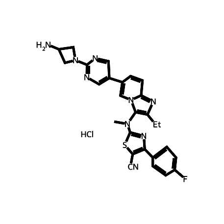 CCc1nc2ccc(-c3cnc(N4CC(N)C4)nc3)cn2c1N(C)c1nc(-c2ccc(F)cc2)c(C#N)s1.Cl